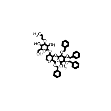 C=CCOC1C(O)C(CO)OC(OC2CCOC(COCc3ccccc3)C2OC2OC(C)C(OCc3ccccc3)C(OCc3ccccc3)C2OCc2ccccc2)C1O